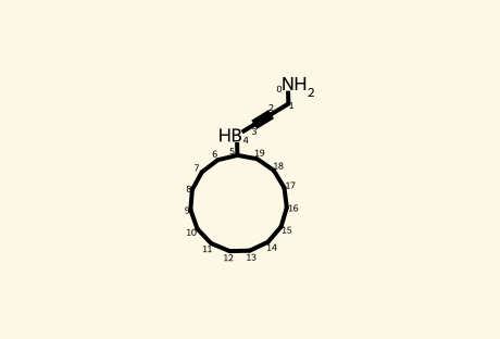 NCC#CBC1CCCCCCCCCCCCCC1